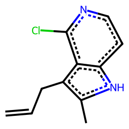 C=CCc1c(C)[nH]c2ccnc(Cl)c12